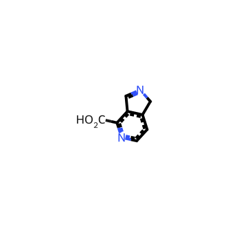 O=C(O)c1nccc2c1C=NC2